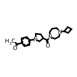 CC(=O)c1ccc(N2CCC(C(=O)N3CCCN(C4CCC4)CC3)C2)cc1